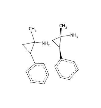 CC1(N)CC1c1ccccc1.C[C@]1(N)C[C@@H]1c1ccccc1